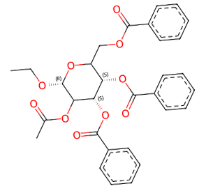 CCO[C@@H]1OC(COC(=O)c2ccccc2)[C@H](OC(=O)c2ccccc2)[C@H](OC(=O)c2ccccc2)C1OC(C)=O